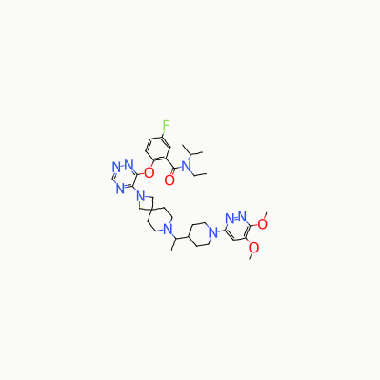 CCN(C(=O)c1cc(F)ccc1Oc1nncnc1N1CC2(CCN(C(C)C3CCN(c4cc(OC)c(OC)nn4)CC3)CC2)C1)C(C)C